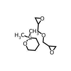 C(OCC1CO1)C1CO1.C[Si]1(C)CCCCO1